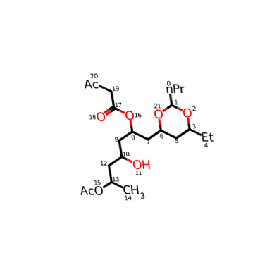 CCCC1OC(CC)CC(CC(CC(O)CC(C)OC(C)=O)OC(=O)CC(C)=O)O1